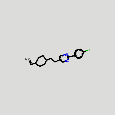 C=CC1CCC(CCc2cnc(-c3ccc(Cl)cc3)nc2)CC1